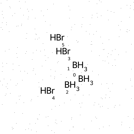 B.B.B.Br.Br.Br